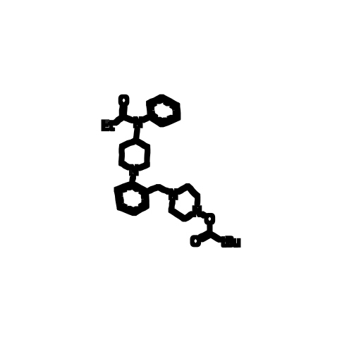 CCC(=O)N(c1ccccc1)C1CCN(c2ccccc2CN2CCN(OC(=O)C(C)(C)C)CC2)CC1